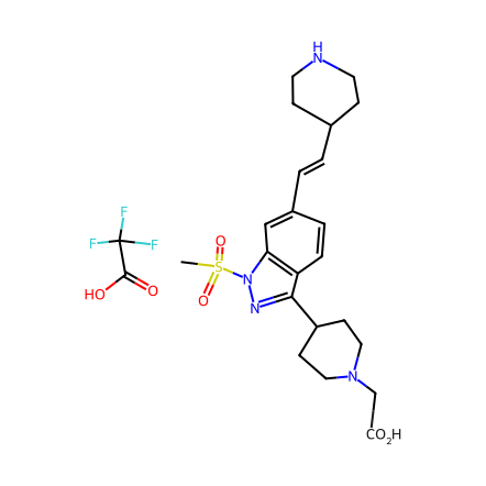 CS(=O)(=O)n1nc(C2CCN(CC(=O)O)CC2)c2ccc(/C=C/C3CCNCC3)cc21.O=C(O)C(F)(F)F